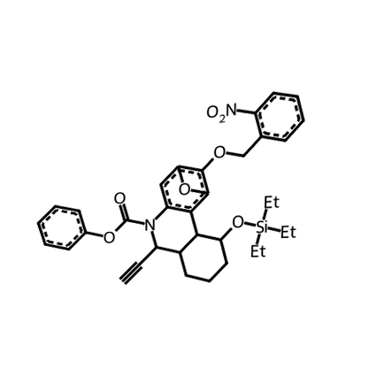 C#CC1C2CCCC(O[Si](CC)(CC)CC)C2c2c(cc3c(OCc4ccccc4[N+](=O)[O-])c2O3)N1C(=O)Oc1ccccc1